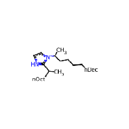 CCCCCCCCCCCCCCC(C)[n+]1cc[nH]c1C(C)CCCCCCCC